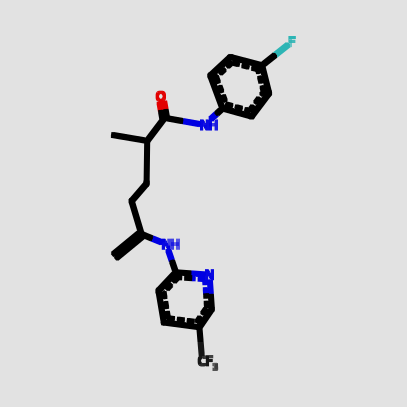 C=C(CCC(C)C(=O)Nc1ccc(F)cc1)Nc1ccc(C(F)(F)F)cn1